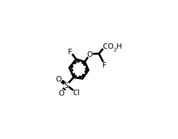 O=C(O)C(F)Oc1ccc(S(=O)(=O)Cl)cc1F